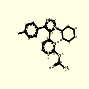 Cc1ccc(-c2ncn(C3CCCCC3)c2-c2ccnc(OC(N)=O)n2)cc1